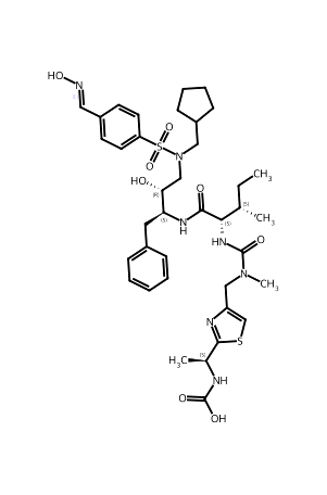 CC[C@H](C)[C@H](NC(=O)N(C)Cc1csc([C@H](C)NC(=O)O)n1)C(=O)N[C@@H](Cc1ccccc1)[C@H](O)CN(CC1CCCC1)S(=O)(=O)c1ccc(/C=N/O)cc1